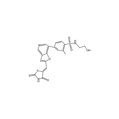 Cc1cc(-c2cncc3cc(/C=C4\SC(=S)NC4=O)oc23)ccc1S(=O)(=O)NCCO